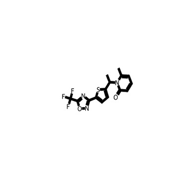 Cc1cccc(=O)n1C(C)c1ccc(-c2noc(C(F)(F)F)n2)s1